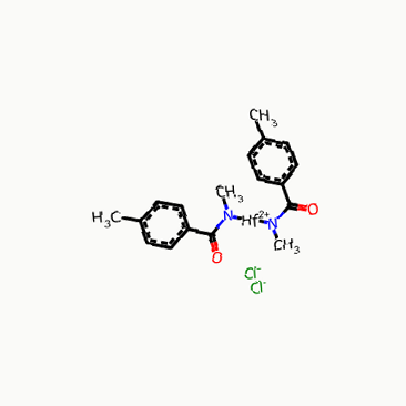 Cc1ccc(C(=O)[N](C)[Hf+2][N](C)C(=O)c2ccc(C)cc2)cc1.[Cl-].[Cl-]